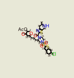 CC(=O)Oc1coc(CCCC2CN(S(=O)(=O)c3cc4ccc(Cl)cc4s3)CCN2C(=O)c2nc3c(s2)CNC(C)C3)cc1=O